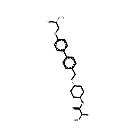 CCCC[C@H](F)C(=O)O[C@H]1CC[C@H](CCc2ccc(-c3ccc(OC[C@@H](C)Cl)cc3)cc2)CC1